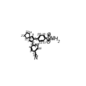 N#Cc1ccc(C2=CC3(C=C2c2ccc(S(N)(=O)=O)cc2)CCCC3)nc1